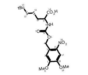 COc1cc(COC(=O)NC(CSSC(C)(C)C)C(=O)O)c([N+](=O)[O-])cc1OC